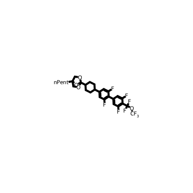 CCCCCC12COC(C3CCC(c4cc(F)c(-c5cc(F)c(C(F)(F)OC(F)(F)F)c(F)c5)c(F)c4)CC3)(OC1)O2